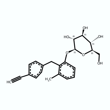 C#Cc1ccc(Cc2c(C)cccc2O[C@@H]2O[C@H](CO)[C@@H](O)[C@H](O)[C@H]2O)cc1